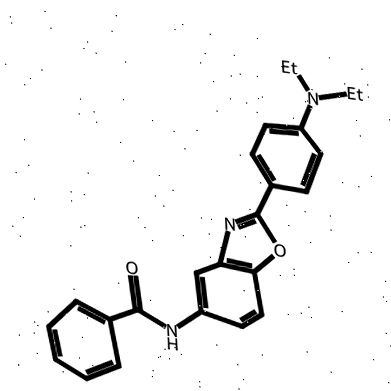 CCN(CC)c1ccc(-c2nc3cc(NC(=O)c4ccccc4)ccc3o2)cc1